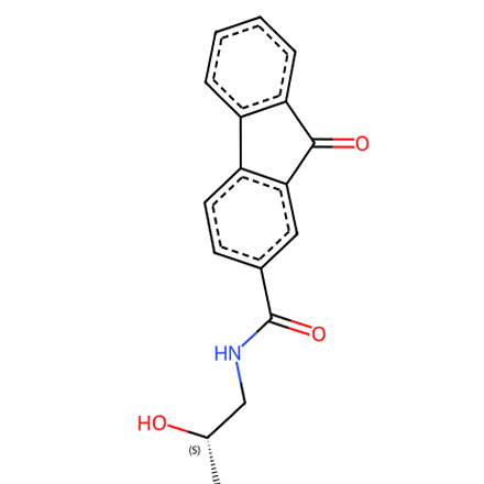 C[C@H](O)CNC(=O)c1ccc2c(c1)C(=O)c1ccccc1-2